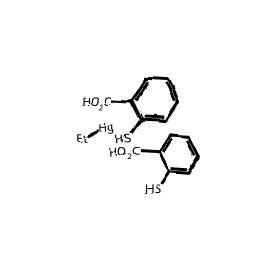 C[CH2][Hg].O=C(O)c1ccccc1S.O=C(O)c1ccccc1S